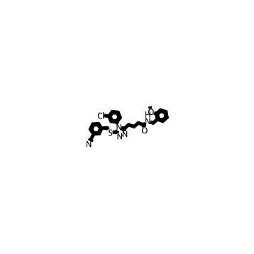 COc1ccccc1CNC(=O)CCCc1nnc(SCc2cccc(C#N)c2)n1-c1cccc(Cl)c1